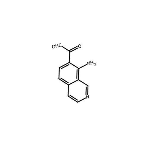 Nc1c(C(=O)C=O)ccc2ccncc12